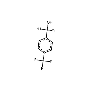 [2H]C([2H])(O)c1ccc(C(F)(F)F)cc1